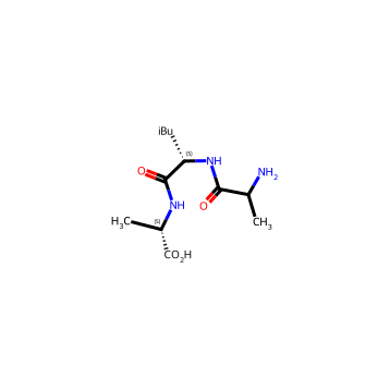 CCC(C)[C@H](NC(=O)C(C)N)C(=O)N[C@@H](C)C(=O)O